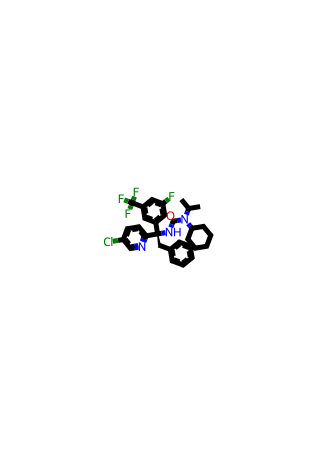 CC(C)N(C(=O)N[C@@](Cc1ccccc1)(c1cc(F)cc(C(F)(F)F)c1)c1ccc(Cl)cn1)C1CCCCC1